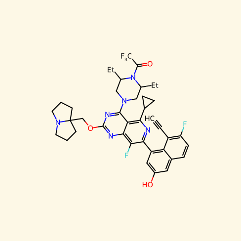 C#Cc1c(F)ccc2cc(O)cc(-c3nc(C4CC4)c4c(N5CC(CC)N(C(=O)C(F)(F)F)C(CC)C5)nc(OCC56CCCN5CCC6)nc4c3F)c12